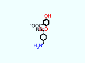 NC[C@H]1CC[C@H](C(=O)Oc2ccc(O)cc2C(=O)[O-])CC1.[Na+]